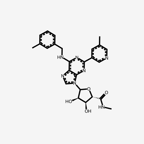 CNC(=O)[C@H]1OC(n2cnc3c(NCc4cccc(C)c4)nc(-c4cncc(C)c4)nc32)[C@H](O)[C@@H]1O